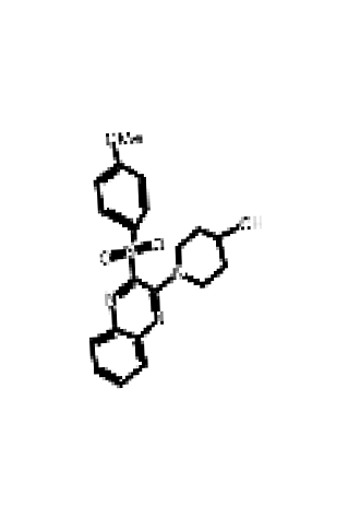 COc1ccc(S(=O)(=O)c2nc3ccccc3nc2N2CCC(O)CC2)cc1